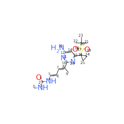 CNC(=O)N/C=C/C=C(\C)c1nc(N)cc(C2(S(=O)(=O)C(C)(C)C)CC2)n1